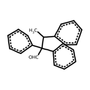 CC(c1ccccc1)C([C]=O)(c1ccccc1)c1ccccc1